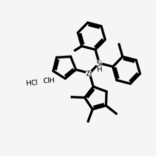 CC1=C(C)C(C)=[C]([Zr]([C]2=CC=CC2)[SiH](c2ccccc2C)c2ccccc2C)C1.Cl.Cl